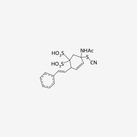 CC(=O)NC1(SC#N)C=CC(C=Cc2ccccc2)C(S(=O)(=O)O)(S(=O)(=O)O)C1